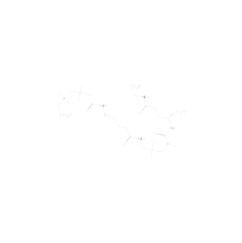 CP(CC(C)(C)CNC(=O)CCCSNC(=O)CC(C)(C)CC(C)(C)CC(=O)O)C(=O)N[C@@H](CCC(=O)NCC(=O)O)C(=O)O